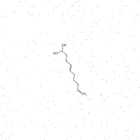 C=CCCC/C=C/CCC(O)O